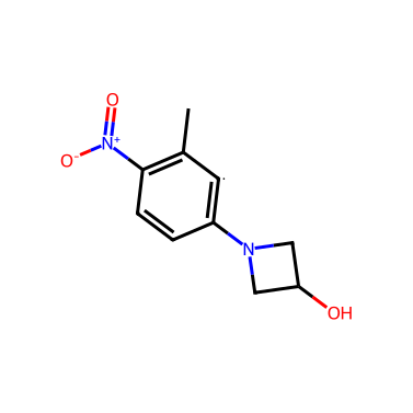 Cc1[c]c(N2CC(O)C2)ccc1[N+](=O)[O-]